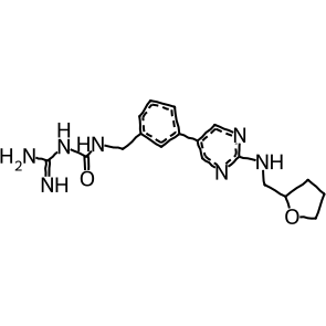 N=C(N)NC(=O)NCc1cccc(-c2cnc(NCC3CCCO3)nc2)c1